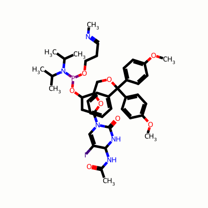 C/N=C/CCOP(OC1CC(N2C=C(I)C(NC(C)=O)NC2=O)OC1COC(c1ccccc1)(c1ccc(OC)cc1)c1ccc(OC)cc1)N(C(C)C)C(C)C